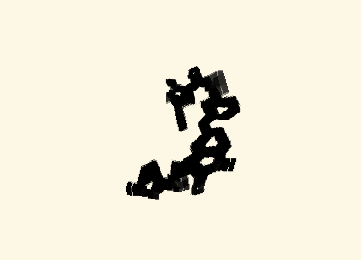 Cc1cc(C(=O)Nc2cccc(Cc3ccc4c(c3)/C(=C/Nc3cc[nH]n3)C(=O)N4)c2)n(C)n1